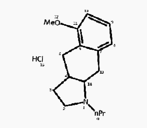 CCCN1CCC2Cc3c(cccc3OC)CC21.Cl